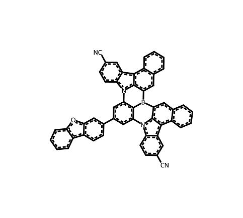 N#Cc1ccc2c(c1)c1c3ccccc3cc3c1n2-c1cc(-c2ccc4c(c2)oc2ccccc24)cc2c1B3c1cc3ccccc3c3c4cc(C#N)ccc4n-2c13